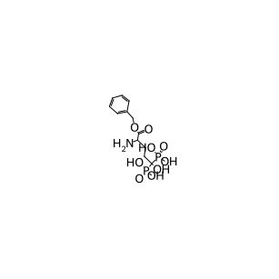 NC(CCC(O)(P(=O)(O)O)P(=O)(O)O)C(=O)OCc1ccccc1